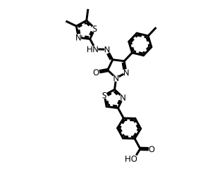 Cc1ccc(C2=NN(c3nc(-c4ccc(C(=O)O)cc4)cs3)C(=O)/C2=N\Nc2nc(C)c(C)s2)cc1